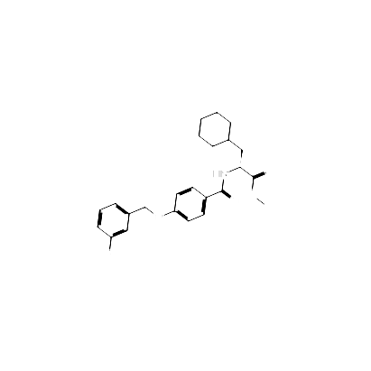 COC(=O)[C@H](CC1CCCCC1)NC(=O)c1ccc(OCc2cccc(Br)c2)cc1